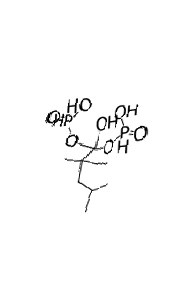 CC(C)CC(C)(C)C(O)(O[PH](=O)O)O[PH](=O)O